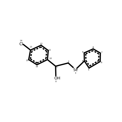 OC(C[Se]c1ccccc1)c1ccc(Cl)cc1